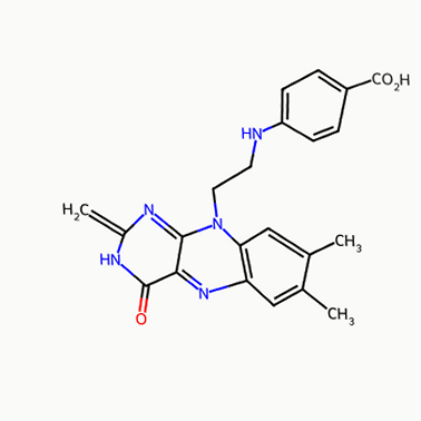 C=c1nc2c(c(=O)[nH]1)=Nc1cc(C)c(C)cc1N2CCNc1ccc(C(=O)O)cc1